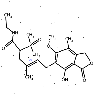 CCNC(=O)C(C/C(C)=C/Cc1c(O)c2c(c(C)c1OC)COC2=O)P(C)(C)=O